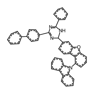 c1ccc(C2=NC(c3ccc(-c4ccccc4)cc3)=NC(c3ccc4c(c3)oc3cccc(-n5c6ccccc6c6ccccc65)c34)N2)cc1